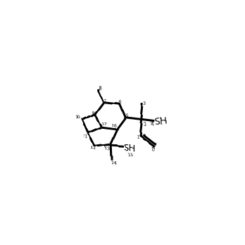 C=CC(C)(S)C1CC(C)C2CC3CC(C)(S)C1C32